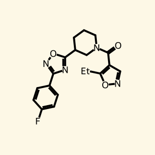 CCc1oncc1C(=O)N1CCCC(c2nc(-c3ccc(F)cc3)no2)C1